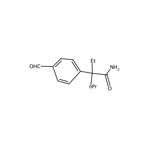 CCCC(CC)(C(N)=O)c1ccc(C=O)cc1